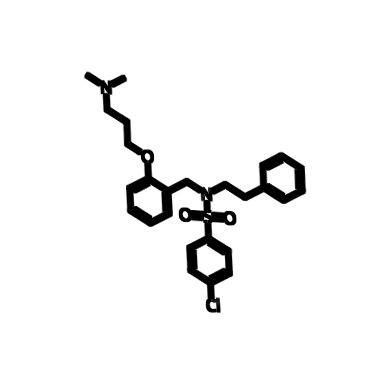 CN(C)CCCOc1ccccc1CN(CCc1ccccc1)S(=O)(=O)c1ccc(Cl)cc1